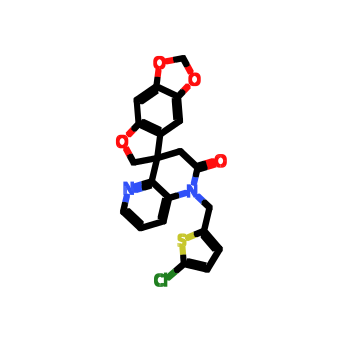 O=C1CC2(COc3cc4c(cc32)OCO4)c2ncccc2N1Cc1ccc(Cl)s1